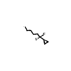 [CH2]CCCCC(F)(F)C1CC1